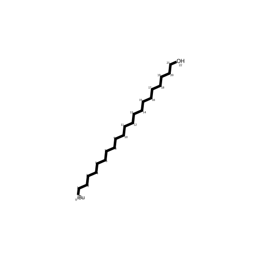 CCC(C)CCCCCCCCCCCCCCCCCCCCCO